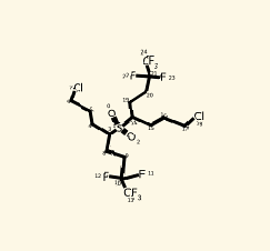 O=S(=O)(C(CCCCl)CCC(F)(F)C(F)(F)F)C(CCCCl)CCC(F)(F)C(F)(F)F